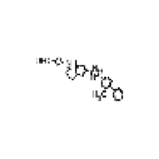 Cc1cc(-c2nc(-c3ccc4c(c3)CCC[C@@H]4N[C@H]3C[C@H](C=O)C3)no2)ccc1-c1ccccc1